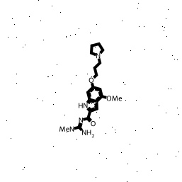 CNC(N)=NC(=O)c1cc2c(OC)cc(OCCCN3CCCC3)cc2[nH]1